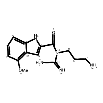 COc1cccc2[nH]c(C(=O)N(CCCN)C(=N)N)cc12